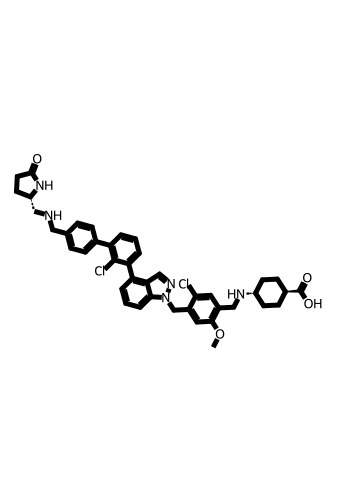 COc1cc(Cn2ncc3c(-c4cccc(-c5ccc(CNC[C@@H]6CCC(=O)N6)cc5)c4Cl)cccc32)c(Cl)cc1CN[C@H]1CC[C@H](C(=O)O)CC1